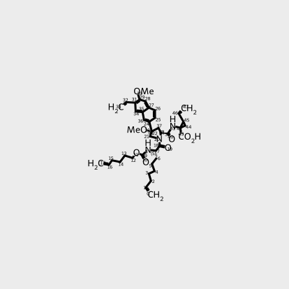 C=CCCCCC[C@H](NC(=O)OCCCCC=C)C(=O)N1C[C@](OC)(c2ccc3cc(OC)c(C=C)cc3c2)C[C@H]1C(=O)NC1(C(=O)O)CC1C=C